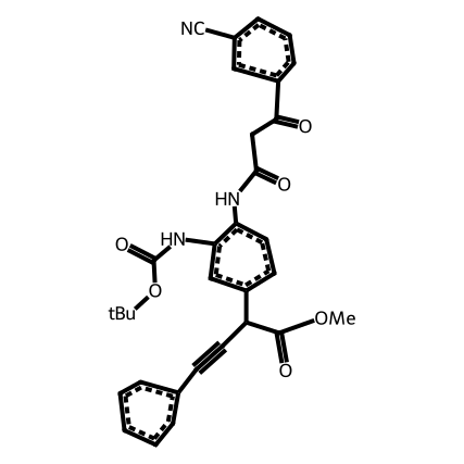 COC(=O)C(C#Cc1ccccc1)c1ccc(NC(=O)CC(=O)c2cccc(C#N)c2)c(NC(=O)OC(C)(C)C)c1